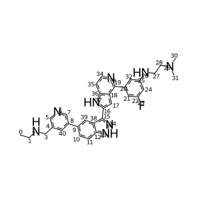 CCNCc1cncc(-c2ccc3[nH]nc(-c4cc5c(-c6cc(F)cc(NCCN(C)C)c6)nccc5[nH]4)c3c2)c1